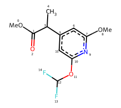 COC(=O)C(C)c1cc(OC)nc(OC(F)F)c1